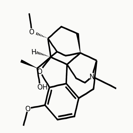 COc1ccc2c3c1O[C@@H]1C34CCN(C)C(C2)[C@]42CC[C@@]1(OC)C([C@H](C)O)C2